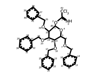 N=C(O[C@H]1OC(COCc2ccccc2)[C@@H](OCc2ccccc2)C(OCc2ccccc2)C1OCc1ccccc1)C(Cl)(Cl)Cl